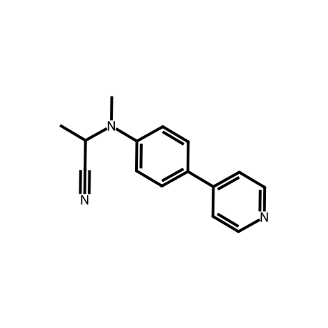 CC(C#N)N(C)c1ccc(-c2ccncc2)cc1